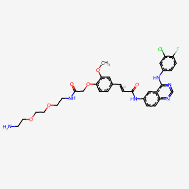 COc1cc(/C=C/C(=O)Nc2ccc3ncnc(Nc4ccc(F)c(Cl)c4)c3c2)ccc1OCC(=O)NCCOCCOCCN